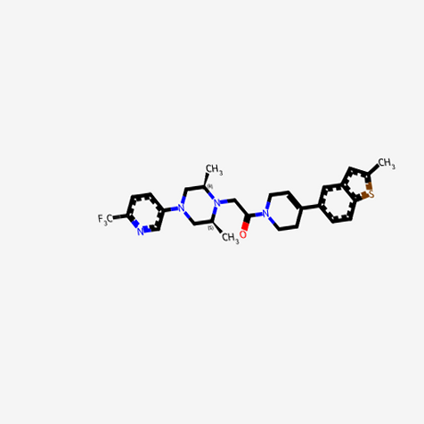 Cc1cc2cc(C3=CCN(C(=O)CN4[C@H](C)CN(c5ccc(C(F)(F)F)nc5)C[C@@H]4C)CC3)ccc2s1